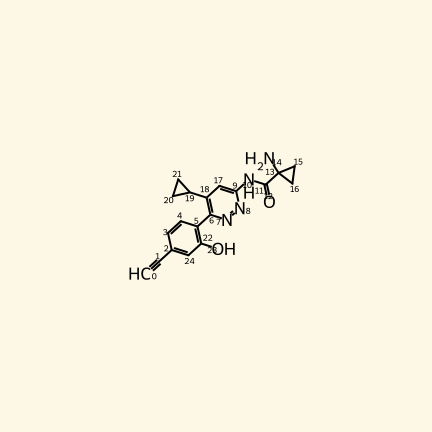 C#Cc1ccc(-c2nnc(NC(=O)C3(N)CC3)cc2C2CC2)c(O)c1